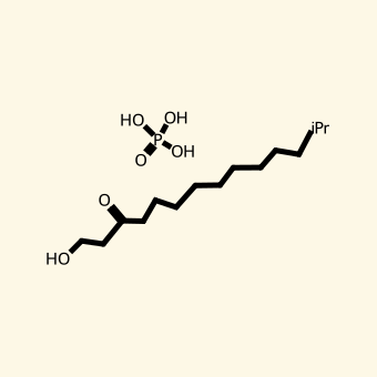 CC(C)CCCCCCCCCC(=O)CCO.O=P(O)(O)O